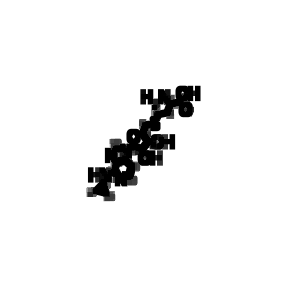 NC(CCSCC1OC(n2cnc3c(NC4CC4)nccc32)C(O)C1O)C(=O)O